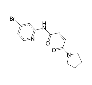 O=C(/C=C\C(=O)N1CCCC1)Nc1cc(Br)ccn1